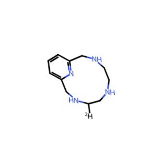 [2H]C1CNCCNCc2cccc(n2)CN1